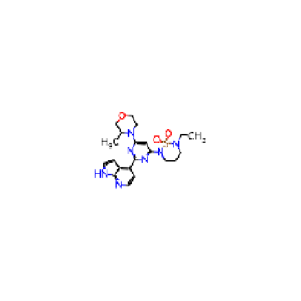 CCN1CCCN(c2cc(N3CCOCC3C)nc(-c3ccnc4[nH]ccc34)n2)S1(=O)=O